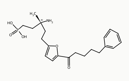 C[C@@](N)(CCc1ccc(C(=O)CCCCc2ccccc2)o1)CCP(=O)(O)O